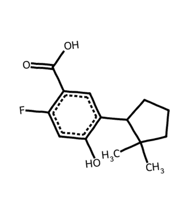 CC1(C)CCCC1c1cc(C(=O)O)c(F)cc1O